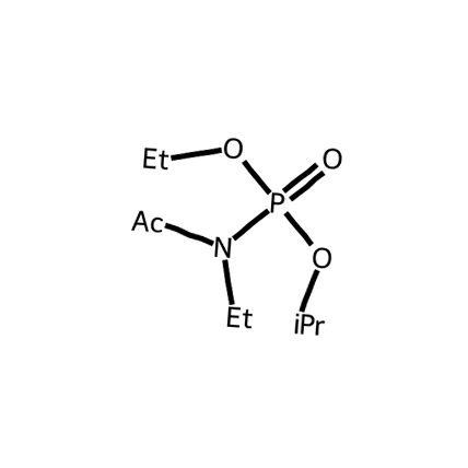 CCOP(=O)(OC(C)C)N(CC)C(C)=O